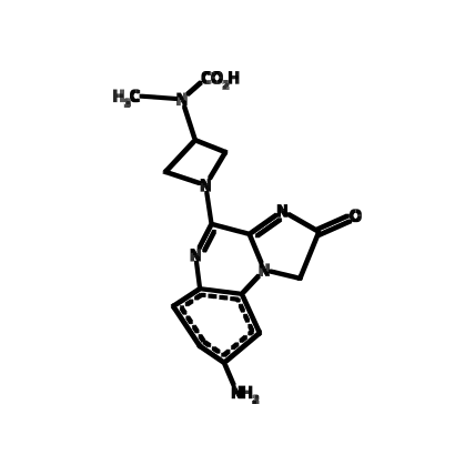 CN(C(=O)O)C1CN(C2=Nc3ccc(N)cc3N3CC(=O)N=C23)C1